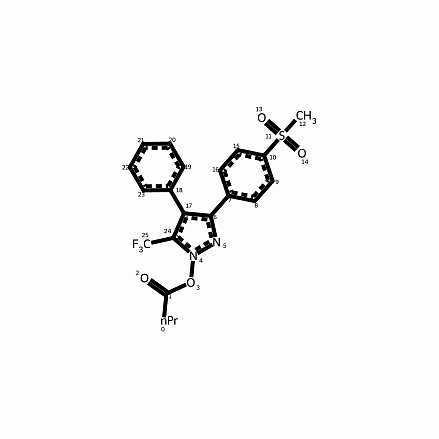 CCCC(=O)On1nc(-c2ccc(S(C)(=O)=O)cc2)c(-c2ccccc2)c1C(F)(F)F